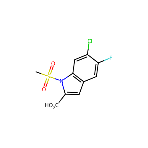 CS(=O)(=O)n1c(C(=O)O)cc2cc(F)c(Cl)cc21